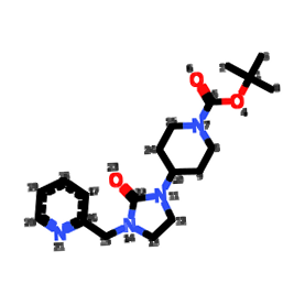 CC(C)(C)OC(=O)N1CCC(N2CCN(Cc3ccccn3)C2=O)CC1